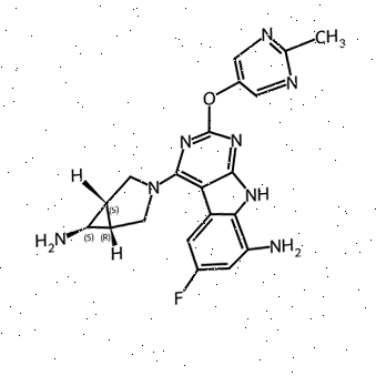 Cc1ncc(Oc2nc(N3C[C@@H]4[C@@H](N)[C@@H]4C3)c3c(n2)[nH]c2c(N)cc(F)cc23)cn1